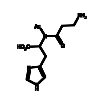 CC(=O)N(C(=O)CCN)C(Cc1c[nH]cn1)C(=O)O